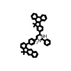 CC1(C)c2cc3ccccc3cc2-c2c(-c3ccc(/C=C/C(NC(N)c4ccccc4)c4ccc5c(c4)C(C)(C)c4c-5c5ccccc5c5ccccc45)cc3)cccc21